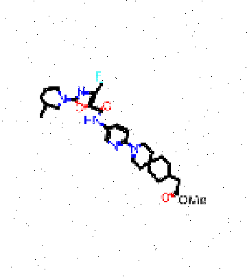 COC(=O)CC1CCC2(CC1)CCN(c1ccc(NC(=O)c3oc(N4CCCC(C)C4)nc3CF)cn1)CC2